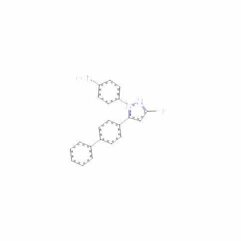 O=[N+]([O-])c1ccc(-n2nc(C(F)(F)F)cc2-c2ccc(-c3ccccc3)cc2)cc1